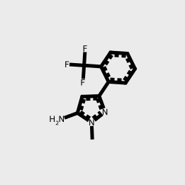 Cn1nc(-c2ccccc2C(F)(F)F)cc1N